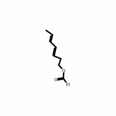 C/C=C/C=C/CCOC(=O)CC